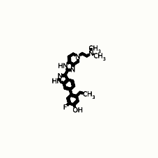 CCc1cc(O)c(F)cc1-c1ccc2c(C3N=C4CN(CCN(C)C)CC=C4N3)n[nH]c2c1